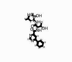 CC(C)C[C@H](NC(=O)[C@@H](NC(=O)c1cc(-c2ccccc2)ncn1)C(C)O)B(O)O